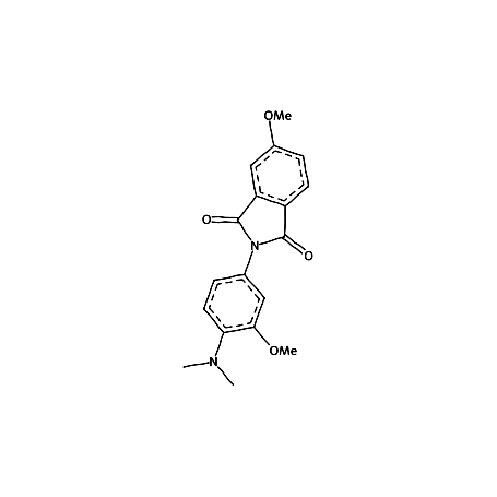 COc1ccc2c(c1)C(=O)N(c1ccc(N(C)C)c(OC)c1)C2=O